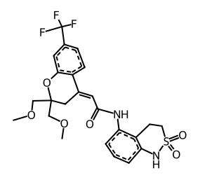 COCC1(COC)C/C(=C\C(=O)Nc2cccc3c2CCS(=O)(=O)N3)c2ccc(C(F)(F)F)cc2O1